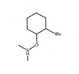 C[SiH](C)OC1CCCCC1C(C)(C)C